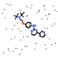 CC(C)(C)N(CCOc1ccc(Nc2nccc(-c3cccnc3)n2)cc1)C(C)(C)C